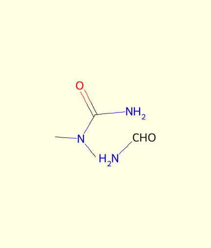 CN(C)C(N)=O.NC=O